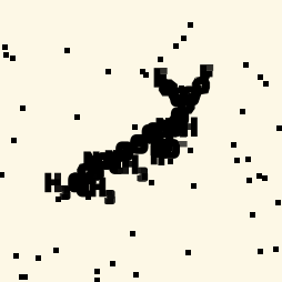 CN(CCOCCOCCOCCNCC(O)COc1ccc(OCc2ccc(F)cc2)c(OCc2ccc(F)cc2)c1)c1ccc2nc3ccc(=[N+](C)C)cc-3sc2c1.O=C([O-])C(F)(F)F